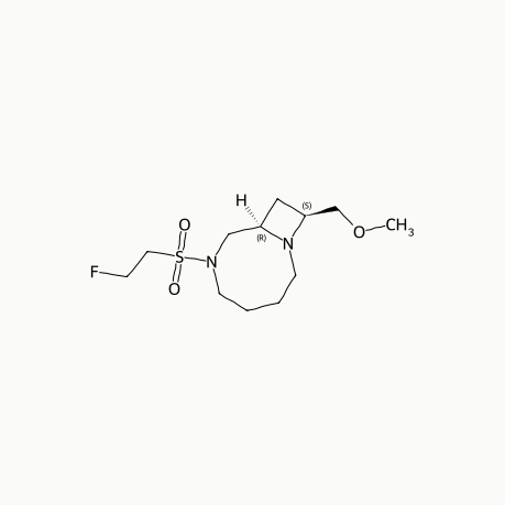 COC[C@@H]1C[C@@H]2CN(S(=O)(=O)CCF)CCCCN12